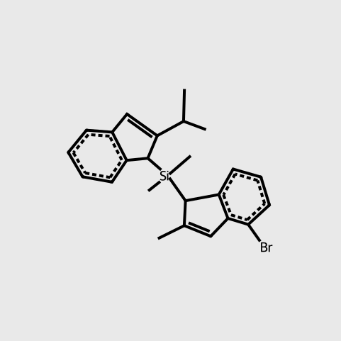 CC1=Cc2c(Br)cccc2C1[Si](C)(C)C1C(C(C)C)=Cc2ccccc21